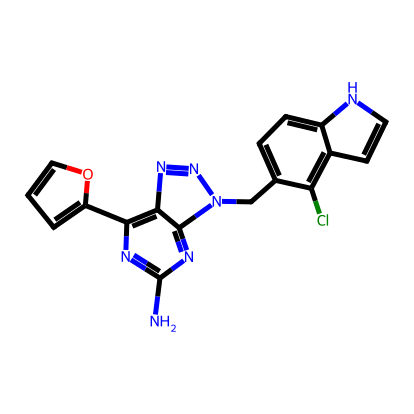 Nc1nc(-c2ccco2)c2nnn(Cc3ccc4[nH]ccc4c3Cl)c2n1